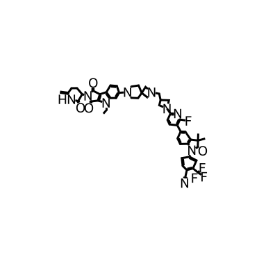 C=C1CCC(N2C(=O)c3c(n(CC)c4cc(N5CCC6(CC5)CN(CC5CN(c7ccc(-c8ccc9c(c8)C(C)(C)C(=O)N9c8ccc(C#N)c(C(F)(F)F)c8)c(F)n7)C5)C6)ccc34)C2=O)C(=O)N1